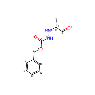 C[C@H]([C]=O)NNC(=O)OCc1ccccc1